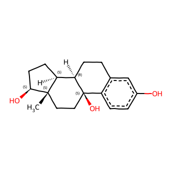 C[C@]12CC[C@@]3(O)c4ccc(O)cc4CC[C@@H]3[C@@H]1CC[C@@H]2O